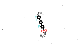 C=CC1COC(c2ccc(-c3ccc(-c4ccc(CC)c(F)c4F)cc3)c(F)c2)OC1